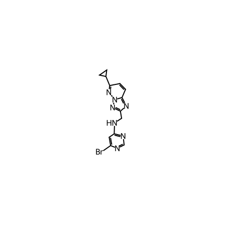 Brc1cc(NCc2nc3ccc(C4CC4)nn3n2)ncn1